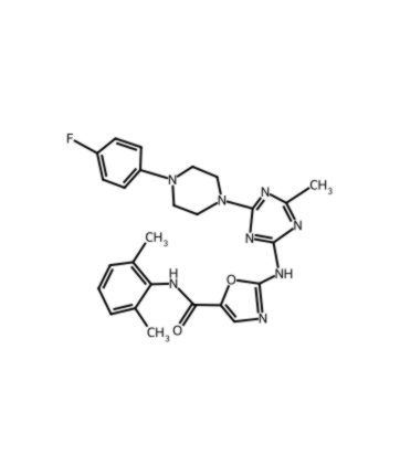 Cc1nc(Nc2ncc(C(=O)Nc3c(C)cccc3C)o2)nc(N2CCN(c3ccc(F)cc3)CC2)n1